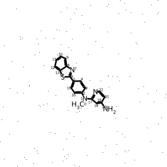 CN(c1ccc(-c2nc3ccccc3s2)cc1)c1cc(N)ccn1